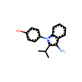 CC(C)c1c(N)c2ccccc2n1-c1ccc(O)cc1